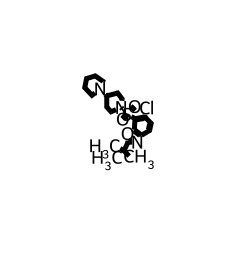 CC(C)(C)c1nc2ccc(Cl)c(S(=O)(=O)N3CCC(N4CCCCC4)CC3)c2o1